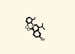 CC(C)c1cn(-c2c(F)cccc2Cl)c(=O)c2ccc(Br)cc12